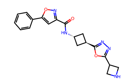 O=C(N[C@H]1C[C@H](c2nnc(C3CNC3)o2)C1)c1cc(-c2ccccc2)on1